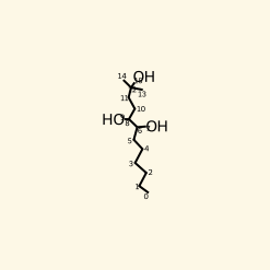 CCCCCCC(O)C(O)CCC(C)(C)O